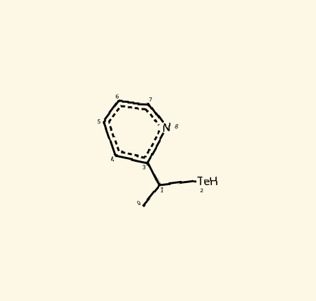 CC([TeH])c1ccccn1